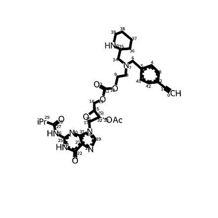 C#Cc1ccc(CN(CCOC(=O)OCC2OC(n3cnc4c(=O)[nH]c(NC(=O)C(C)C)nc43)[C@H]2OC(C)=O)CC2CCCCN2)cc1